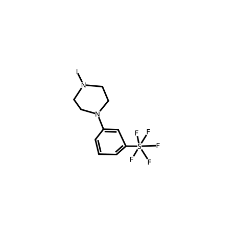 FS(F)(F)(F)(F)c1cccc(N2CCN(I)CC2)c1